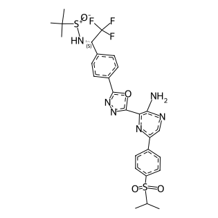 CC(C)S(=O)(=O)c1ccc(-c2cnc(N)c(-c3nnc(-c4ccc([C@H](N[S+]([O-])C(C)(C)C)C(F)(F)F)cc4)o3)n2)cc1